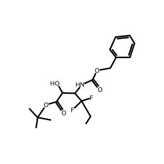 CCC(F)(F)C(NC(=O)OCc1ccccc1)C(O)C(=O)OC(C)(C)C